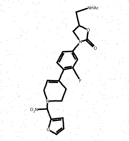 CC(=O)NCC1CN(c2ccc(C3=CCN(C(c4ccco4)[N+](=O)[O-])CC3)c(F)c2)C(=O)O1